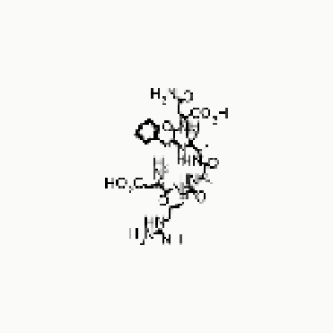 C[C@H](NC(=O)[C@H](C)NC(=O)[C@H](CCCNC(=N)N)NC(=O)[C@@H](N)CC(=O)O)C(=O)N[C@@H](Cc1ccccc1)C(=O)N[C@@H](CC(N)=O)C(=O)O